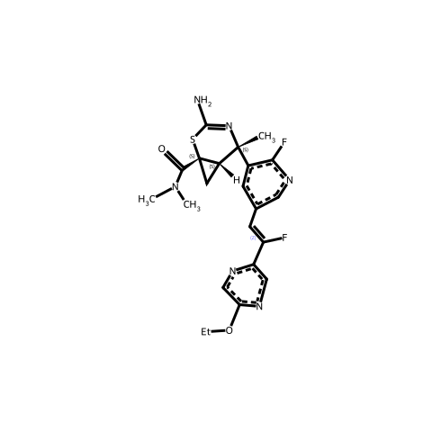 CCOc1cnc(/C(F)=C/c2cnc(F)c([C@@]3(C)N=C(N)S[C@@]4(C(=O)N(C)C)C[C@H]43)c2)cn1